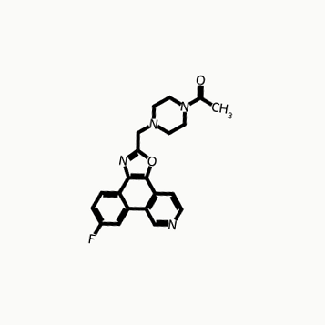 CC(=O)N1CCN(Cc2nc3c4ccc(F)cc4c4cnccc4c3o2)CC1